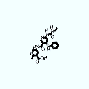 CCNC(=O)Nc1cc(Nc2ccccc2)c(C(=O)Nc2cnc(C)c(C(=O)O)c2)cn1